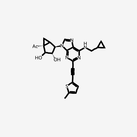 CC(=O)[C@]12CC1[C@@H](n1cnc3c(NCC4CC4)nc(C#Cc4ccc(C)s4)nc31)[C@H](O)C2O